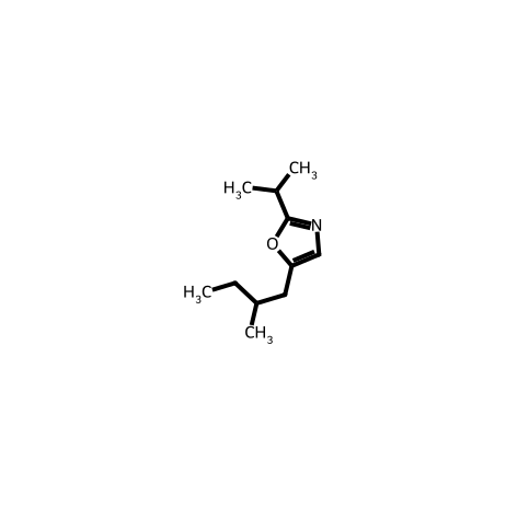 CCC(C)Cc1cnc(C(C)C)o1